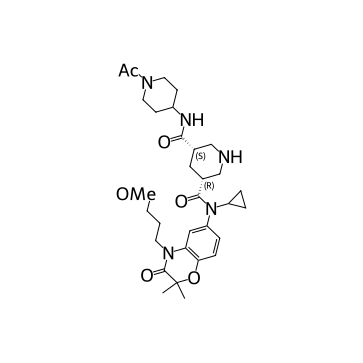 COCCCN1C(=O)C(C)(C)Oc2ccc(N(C(=O)[C@H]3CNC[C@@H](C(=O)NC4CCN(C(C)=O)CC4)C3)C3CC3)cc21